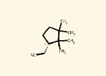 CC1(C)CC[C@@H](CC#N)C1(C)C